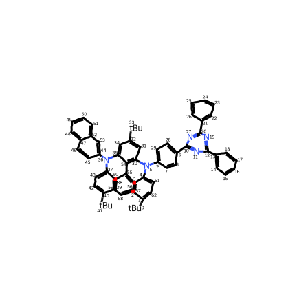 CC(C)(C)c1ccc(N(c2ccc(-c3nc(-c4ccccc4)nc(-c4ccccc4)n3)cc2)c2cc(C(C)(C)C)cc(N(c3ccc(C(C)(C)C)cc3)c3ccc4ccccc4c3)c2-c2ccccc2)cc1